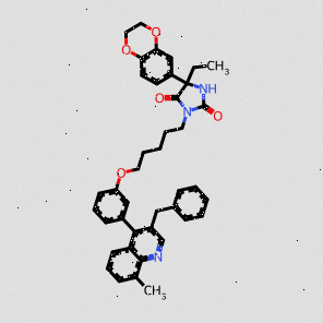 CCC1(c2ccc3c(c2)OCCO3)NC(=O)N(CCCCCOc2cccc(-c3c(Cc4ccccc4)cnc4c(C)cccc34)c2)C1=O